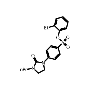 CCCN1CCN(c2ccc(S(=O)(=O)Oc3ccccc3CC)cc2)C1=O